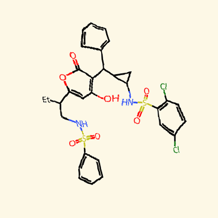 CCC(CNS(=O)(=O)c1ccccc1)c1cc(O)c(C(c2ccccc2)C2CC2NS(=O)(=O)c2cc(Cl)ccc2Cl)c(=O)o1